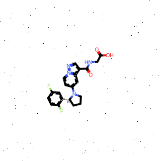 O=C(O)CNC(=O)c1cnn2ccc(N3CCC[C@@H]3c3cc(F)ccc3F)cc12